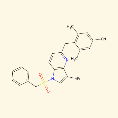 Cc1cc(C#N)cc(C)c1Cc1ccc2c(n1)c(C(C)C)cn2S(=O)(=O)Cc1ccccc1